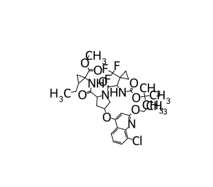 CCOc1cc(OC2CC(C(=O)NC3(C(=O)OC)CC3CC)N(C(=O)C(NC(=O)OC(C)(C)C)C3(C(F)(F)F)CC3)C2)c2cccc(Cl)c2n1